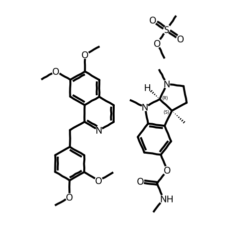 CNC(=O)Oc1ccc2c(c1)[C@]1(C)CCN(C)[C@@H]1N2C.COS(C)(=O)=O.COc1ccc(Cc2nccc3cc(OC)c(OC)cc23)cc1OC